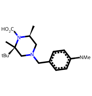 CNc1ccc(CN2C[C@H](C)N(C(=O)O)[C@](C)(C(C)(C)C)C2)cc1